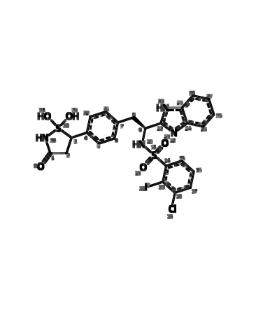 O=C1CC(c2ccc(C[C@H](NS(=O)(=O)c3cccc(Cl)c3F)c3nc4ccccc4[nH]3)cc2)S(O)(O)N1